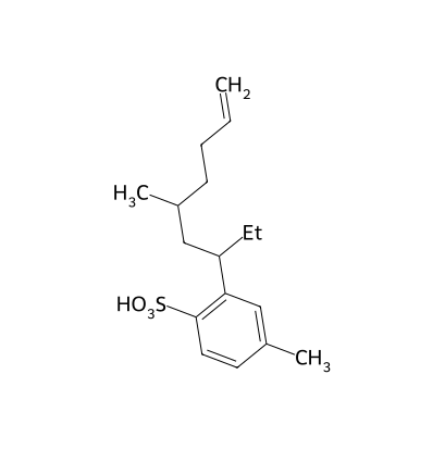 C=CCCC(C)CC(CC)c1cc(C)ccc1S(=O)(=O)O